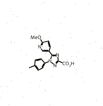 COc1ccc(-c2nc(C(=O)O)nn2-c2ccc(C)cc2)cn1